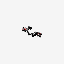 c1ccc(C2(c3ccccc3)c3ccccc3-c3ccc(N(c4ccc(-c5cccc(-c6ccc7sc8c(-c9ccc(N(c%10ccc%11c(c%10)C(c%10ccccc%10)(c%10ccccc%10)c%10ccccc%10-%11)c%10cccc%11ccccc%10%11)cc9)cccc8c7c6)c5)cc4)c4ccc(-c5cccc6c5sc5ccccc56)cc4)cc32)cc1